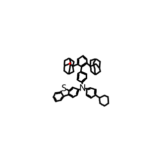 c1cc(C23CC4CC(CC(C4)C2)C3)c(-c2ccc(N(c3ccc(C4CCCCC4)cc3)c3ccc4c(c3)sc3ccccc34)cc2)c(C23CC4CC(CC(C4)C2)C3)c1